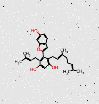 CC(C)=CCC/C(C)=C/Cc1c(O)cc(O)c(CC=C(C)C)c1-c1cc2ccc(O)cc2o1